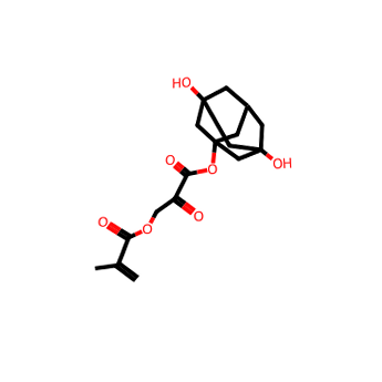 C=C(C)C(=O)OCC(=O)C(=O)OC12CC3CC(O)(CC(O)(C3)C1)C2